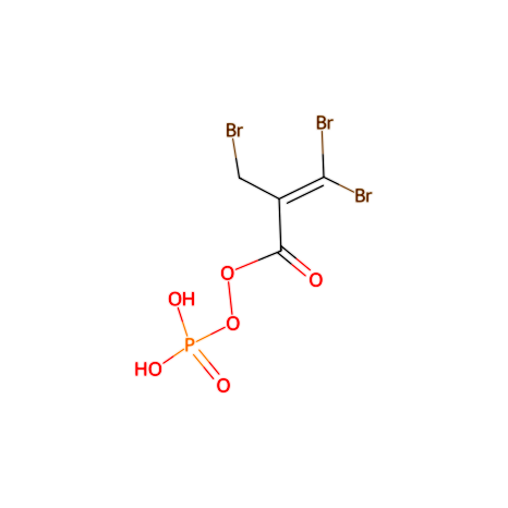 O=C(OOP(=O)(O)O)C(CBr)=C(Br)Br